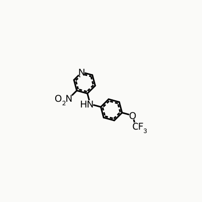 O=[N+]([O-])c1cnccc1Nc1ccc(OC(F)(F)F)cc1